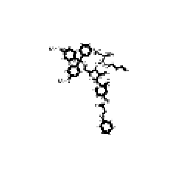 C=CCCOP(OC1C(COC(c2ccccc2)(c2ccc(OC)cc2)c2ccc(OC)cc2)OC(n2ccc(NC(=O)COc3ccccc3)nc2=O)C1F)N(C(C)C)C(C)C